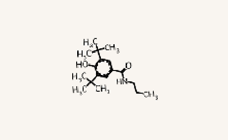 CCCNC(=O)c1cc(C(C)(C)C)c(O)c(C(C)(C)C)c1